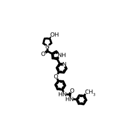 Cc1cccc(NC(=O)Nc2ccc(Oc3ccnc(-c4cc(C(=O)N5CC[C@@H](O)C5)c[nH]4)c3)cc2)c1